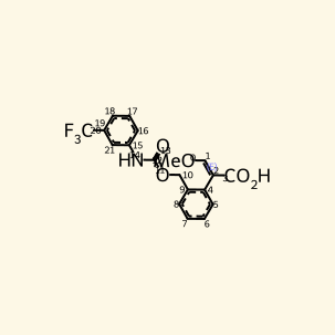 CO/C=C(/C(=O)O)c1ccccc1COC(=O)Nc1cccc(C(F)(F)F)c1